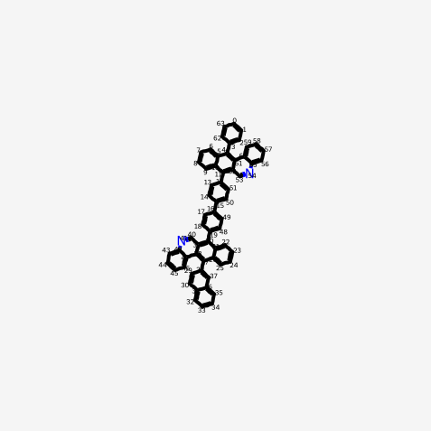 c1ccc(-c2c3ccccc3c(-c3ccc(-c4ccc(-c5c6ccccc6c(-c6ccc7ccccc7c6)c6c5cnc5ccccc56)cc4)cc3)c3cnc4ccccc4c23)cc1